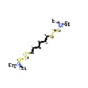 CCN(CC)SSSCCCCCCSSSN(CC)CC